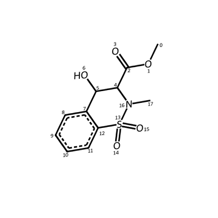 COC(=O)C1C(O)c2ccccc2S(=O)(=O)N1C